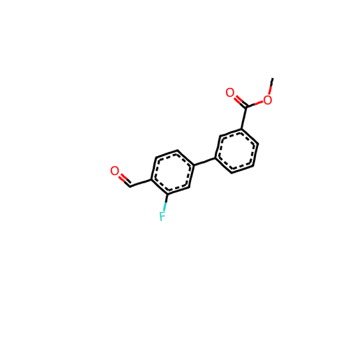 COC(=O)c1cccc(-c2ccc(C=O)c(F)c2)c1